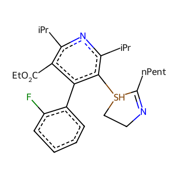 CCCCCC1=NCC[SH]1c1c(C(C)C)nc(C(C)C)c(C(=O)OCC)c1-c1ccccc1F